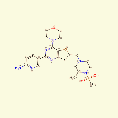 C[C@@H]1CN(CC2Cc3nc(-c4ccc(N)nc4)nc(N4CCOCC4)c3S2)CCN1S(C)(=O)=O